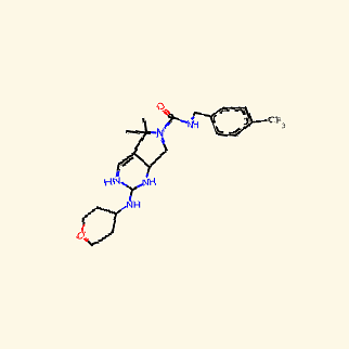 CC1(C)C2=CNC(NC3CCOCC3)NC2CN1C(=O)NCc1ccc(C(F)(F)F)cc1